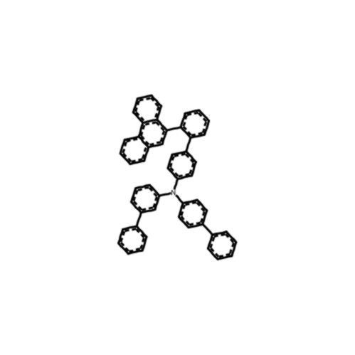 c1ccc(-c2ccc(N(c3ccc(-c4ccccc4-c4cc5ccccc5c5ccccc45)cc3)c3cccc(-c4ccccc4)c3)cc2)cc1